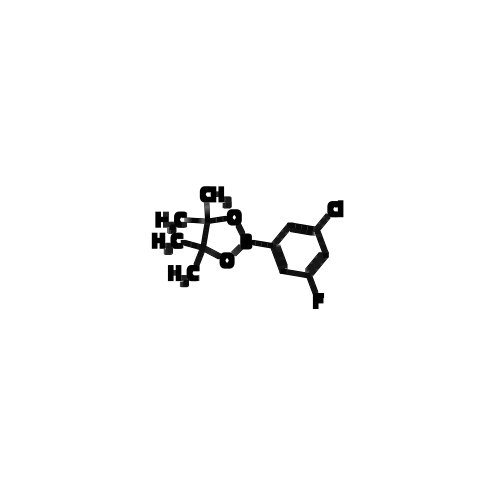 CC1(C)OB(c2cc(F)cc(Cl)c2)OC1(C)C